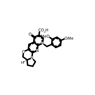 COc1ccc(Cn2cc(C(=O)O)c(=O)c3cc4c(nc32)N2CCC[C@H]2CO4)c(OC)c1